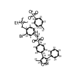 CC[N+](C)(C)Cc1ccccc1Br.Cc1ccc(S(=O)(=O)[O-])cc1.Cc1onc(-c2ccccc2)c1-c1ccc(S(N)(=O)=O)cc1